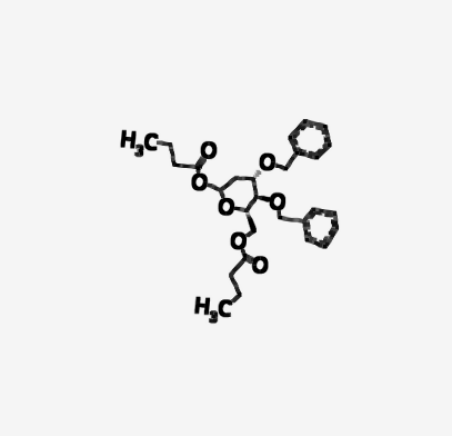 CCCC(=O)OC[C@H]1OC(OC(=O)CCC)C[C@H](OCc2ccccc2)[C@H]1OCc1ccccc1